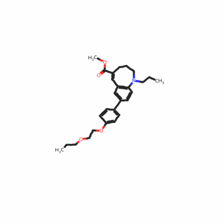 CCCOCCOc1ccc(-c2ccc3c(c2)C=C(C(=O)OC)CCCN3CCC)cc1